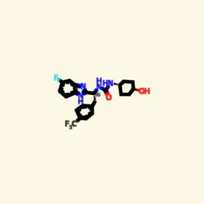 O=C(N[C@H](Cc1ccc(C(F)(F)F)cc1)c1nc2cc(F)ccc2[nH]1)N[C@H]1CC[C@H](O)CC1